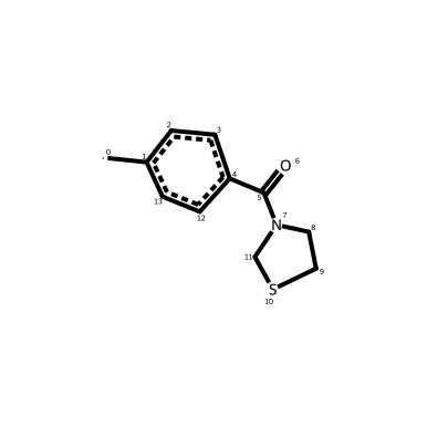 [CH2]c1ccc(C(=O)N2CCSC2)cc1